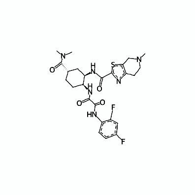 CN1CCc2nc(C(=O)N[C@@H]3C[C@@H](C(=O)N(C)C)CC[C@@H]3NC(=O)C(=O)Nc3ccc(F)cc3F)sc2C1